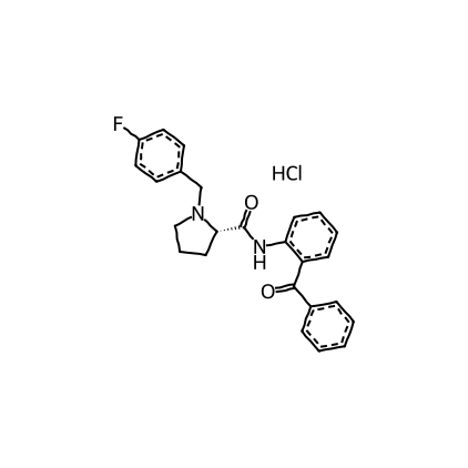 Cl.O=C(c1ccccc1)c1ccccc1NC(=O)[C@@H]1CCCN1Cc1ccc(F)cc1